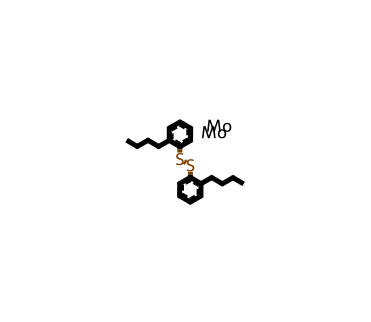 CCCCc1ccccc1SSc1ccccc1CCCC.[Mo].[Mo]